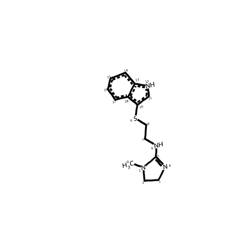 CN1CCN=C1NCCSc1c[nH]c2ccccc12